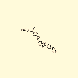 CC#C[C@@H](CC(=O)OCC)c1ccc(OCc2ccc3nc(-c4ccc(OC(F)F)cc4)nn3c2)cc1